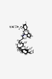 O=C(O)c1cccc2c1C/C(=C/CCN1CCC(O)(c3ccc(Cl)cc3)CC1)c1cccnc1O2